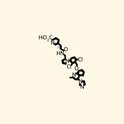 Cc1cc(-n2ccnc2)c2cccc(OCc3c(Cl)ccc(-n4cccc4CNC(=O)/C=C/c4ccc(C(=O)O)nc4)c3Cl)c2n1